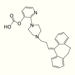 O=C(O)Oc1cccnc1N1CCN(CCC=C2c3ccccc3CCc3ccccc32)CC1